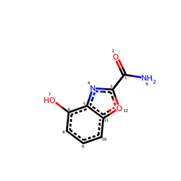 NC(=O)c1nc2c(O)cccc2o1